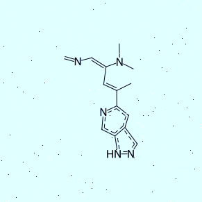 C=N/C=C(\C=C(/C)c1cc2cn[nH]c2cn1)N(C)C